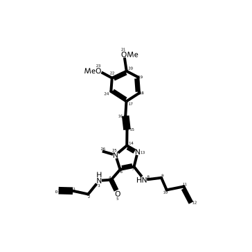 C#CCNC(=O)c1c(NCCC=C)nc(C#Cc2ccc(OC)c(OC)c2)n1C